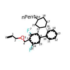 C=CCOCc1c(F)cc(-c2ccccc2[C@H]2CC[C@H](CCCCC)CC2)cc1F